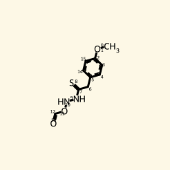 COc1ccc(CC(=S)NNOC=O)cc1